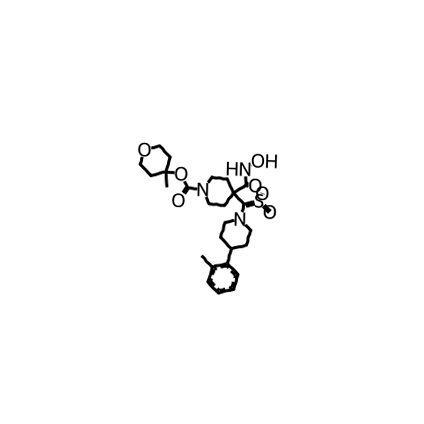 Cc1ccccc1C1CCN(C(=S(=O)=O)C2(C(=O)NO)CCN(C(=O)OC3(C)CCOCC3)CC2)CC1